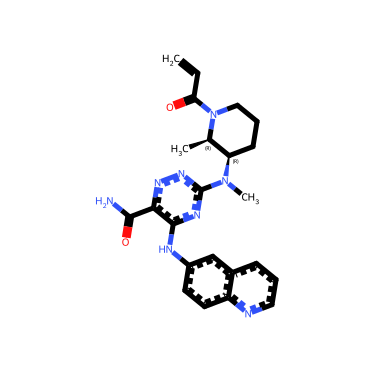 C=CC(=O)N1CCC[C@@H](N(C)c2nnc(C(N)=O)c(Nc3ccc4ncccc4c3)n2)[C@H]1C